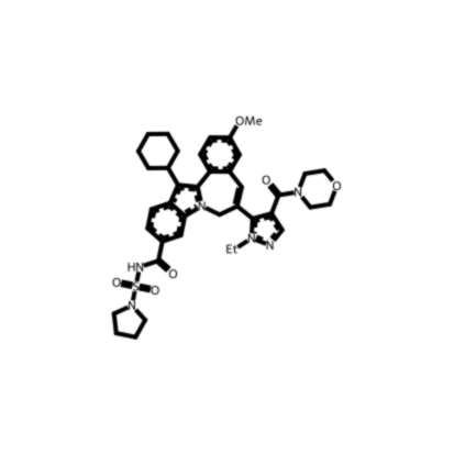 CCn1ncc(C(=O)N2CCOCC2)c1C1=Cc2cc(OC)ccc2-c2c(C3CCCCC3)c3ccc(C(=O)NS(=O)(=O)N4CCCC4)cc3n2C1